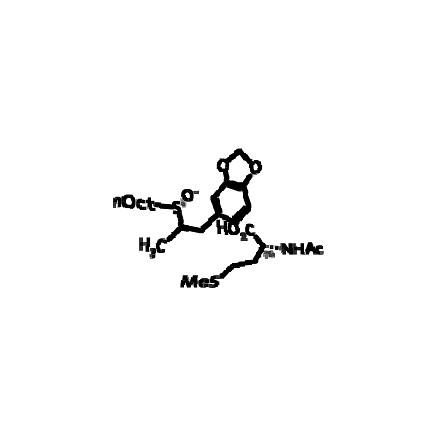 CCCCCCCC[S+]([O-])C(C)Cc1ccc2c(c1)OCO2.CSCC[C@@H](NC(C)=O)C(=O)O